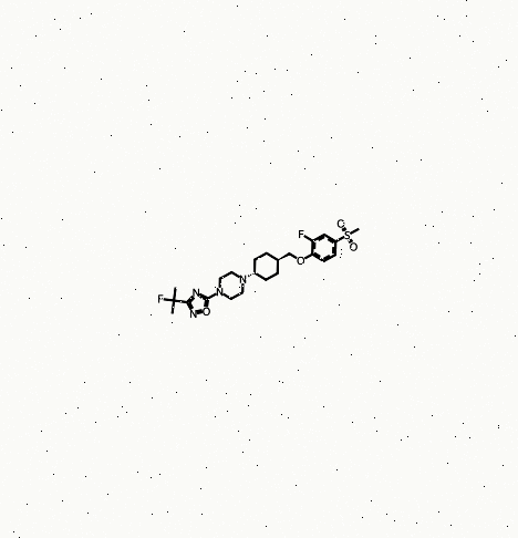 CC(C)(F)c1noc(N2CCN([C@H]3CC[C@H](COc4ccc(S(C)(=O)=O)cc4F)CC3)CC2)n1